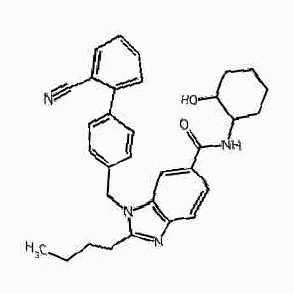 CCCCc1nc2ccc(C(=O)NC3CCCCC3O)cc2n1Cc1ccc(-c2ccccc2C#N)cc1